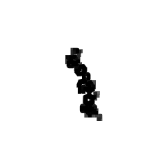 CC(C)c1noc(N2CCC(Oc3ccnc4c(-c5ccc(S(N)(=O)=O)cc5F)cnn34)CC2)n1